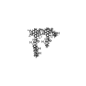 CCOc1cc2ncc(C(N)=O)c(Nc3cccc(CNC(=O)[C@@H](N)Cc4ccccn4)c3CC)c2cc1OCC.CCOc1cc2ncc(C(N)=O)c(Nc3cccc(CNC(=O)[C@@H](N)Cc4cccs4)c3CC)c2cc1OCC.O=C(O)C(F)(F)F.O=C(O)C(F)(F)F.O=C(O)C(F)(F)F